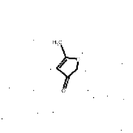 CC1=CC(=O)CO1